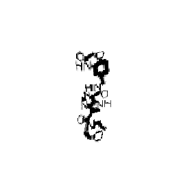 O=C1COc2ccc(CNC(=O)c3ncnc4c(C(=O)N5CCOCC5)c[nH]c34)cc2N1